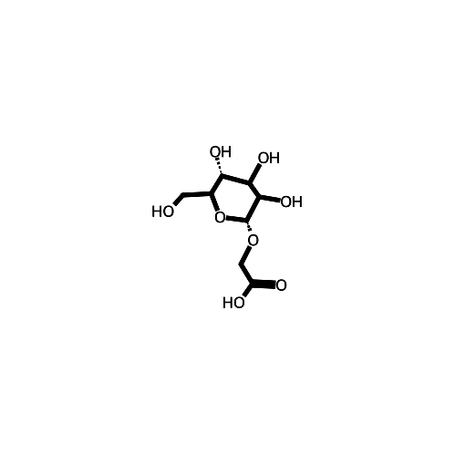 O=C(O)CO[C@@H]1OC(CO)[C@H](O)C(O)C1O